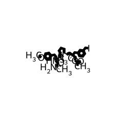 COc1ccc(CN(NC(=O)[C@H](C)N)C(=S)N2CCC[C@H]2/C=C/[C@](C)(COC(C)=O)Cc2cccc(CI)c2)cc1